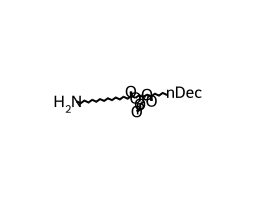 CCCCCCCCCCCCCCC(=O)O[C@@H](COP=O)COC(=O)CCCCCCCCCCCCCN